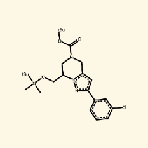 CC(C)(C)OC(=O)N1Cc2cc(-c3cccc(Cl)c3)nn2C(CO[Si](C)(C)C(C)(C)C)C1